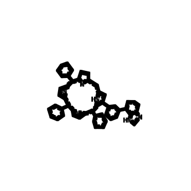 C1=Cc2nc1cc1cc(-c3cccc(-c4cccc5nc[nH]c45)c3)c([nH]1)c(-c1ccccc1)c1nc(c(-c3ccccc3)c3ccc([nH]3)c2-c2ccccc2)C=C1